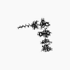 CCCCCCCCCC[Si](OCC)(OCC)OCC.CCO[Si](C)(C)OCC.CCO[Si](CC(C)C)(OCC)OCC.CCO[Si](OCC)(OCC)c1ccccc1.CCO[Si](OCC)(c1ccccc1)c1ccccc1